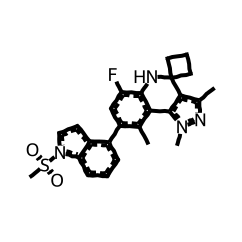 Cc1nn(C)c2c1C1(CCC1)Nc1c(F)cc(-c3cccc4c3ccn4S(C)(=O)=O)c(C)c1-2